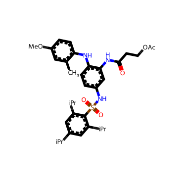 COc1ccc(Nc2ccc(NS(=O)(=O)c3c(C(C)C)cc(C(C)C)cc3C(C)C)cc2NC(=O)CCOC(C)=O)c(C)c1